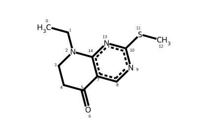 CCN1CCC(=O)c2cnc(SC)nc21